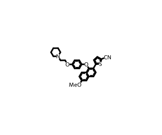 COc1ccc2c(Oc3ccc(OCCN4CCCCC4)cc3)c(-c3ccc(C#N)s3)ccc2c1